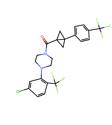 O=C(N1CCN(c2cc(Cl)ccc2C(F)(F)F)CC1)C12CC1(c1ccc(C(F)(F)F)cc1)C2